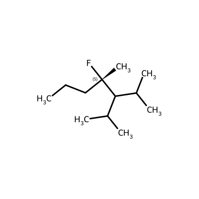 CCC[C@](C)(F)C(C(C)C)C(C)C